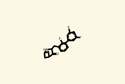 O=C1C2CC(C2)NC1Cc1cccc(-c2cc(F)cc(F)c2)c1F